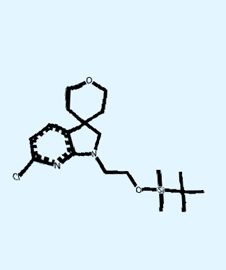 CC(C)(C)[Si](C)(C)OCCN1CC2(CCOCC2)c2ccc(Cl)nc21